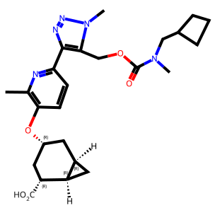 Cc1nc(-c2nnn(C)c2COC(=O)N(C)CC2CCC2)ccc1O[C@@H]1C[C@H]2C[C@H]2[C@H](C(=O)O)C1